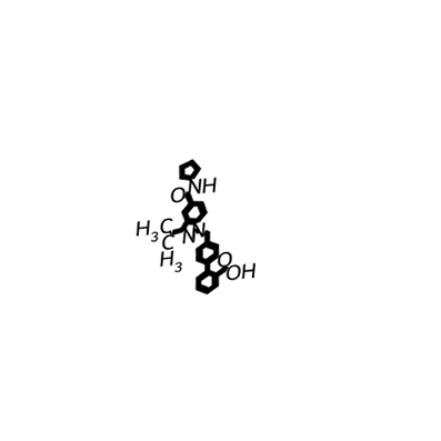 CC(C)c1nn(Cc2ccc(-c3ccccc3C(=O)O)cc2)c2ccc(C(=O)NC3CCCC3)cc12